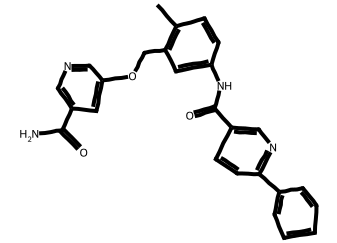 Cc1ccc(NC(=O)c2ccc(-c3ccccc3)nc2)cc1COc1cncc(C(N)=O)c1